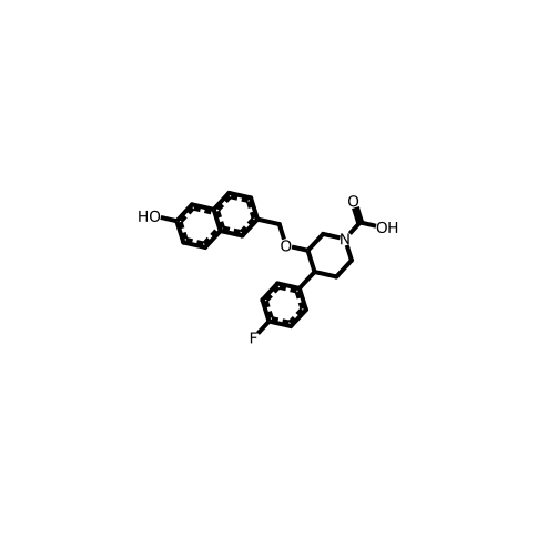 O=C(O)N1CCC(c2ccc(F)cc2)C(OCc2ccc3cc(O)ccc3c2)C1